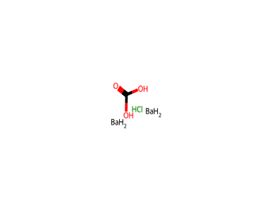 Cl.O=C(O)O.[BaH2].[BaH2]